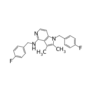 Cc1c(C)n(Cc2ccc(F)cc2)c2ccnc(NCc3ccc(F)cc3)c12